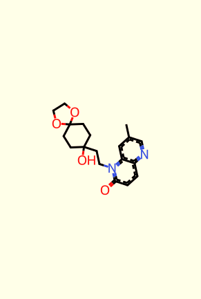 Cc1cnc2ccc(=O)n(CCC3(O)CCC4(CC3)OCCO4)c2c1